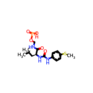 CSc1ccc(NC(=O)N[C@@H](CC(C)C)C(=O)NCO[PH](=O)O)cc1